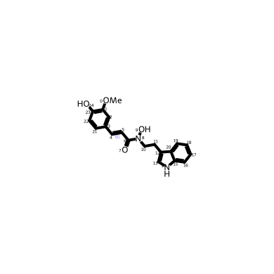 COc1cc(/C=C/C(=O)N(O)CCc2c[nH]c3ccccc23)ccc1O